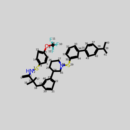 C=C(NSc1ccc(OC(F)(F)F)cc1)C(C)(C)Cc1cccc(C2CCCN(Sc3cccc(-c4ccc(C(C)C)cc4)c3)C2)c1